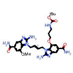 COc1cc(C(N)=O)cc2nc(N)n(C/C=C/Cn3c(N)nc4cc(C(N)=O)cc(OCCCNC(=O)OC(C)(C)C)c43)c12